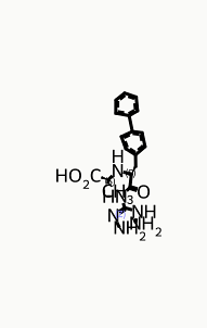 C[C@H](N[C@@H](Cc1ccc(-c2ccccc2)cc1)C(=O)N/C(=N/N)NN)C(=O)O